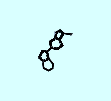 Brc1cnn2cc(-c3cnn4c3CCCC4)ccc12